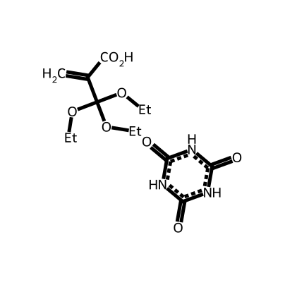 C=C(C(=O)O)C(OCC)(OCC)OCC.O=c1[nH]c(=O)[nH]c(=O)[nH]1